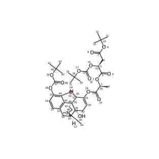 C[C@H](OC(=O)[C@H](CC(=O)OC(C)(C)C)OC(=O)OC(C)(C)C)C(=O)OC1=CC[C@@]2(O)[C@H]3Cc4ccc(OC(=O)OC(C)(C)C)c5c4[C@@]2(CCN3C)[C@H]1O5